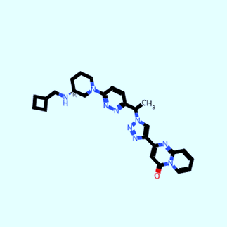 CC(c1ccc(N2CCC[C@@H](NCC3CCC3)C2)nn1)n1cc(-c2cc(=O)n3ccccc3n2)nn1